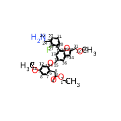 CCOC(=O)Cc1ccc(OC)cc1OCc1cc(-c2cccc(CN)c2F)c2oc(COC)cc2c1